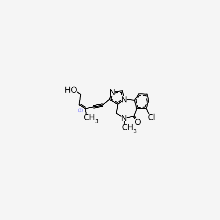 C/C(C#Cc1ncn2c1CN(C)C(=O)c1c(Cl)cccc1-2)=C/CO